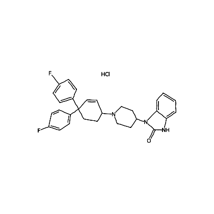 Cl.O=c1[nH]c2ccccc2n1C1CCN(C2C=CC(c3ccc(F)cc3)(c3ccc(F)cc3)CC2)CC1